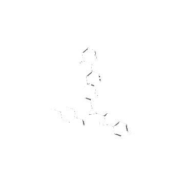 O=C(Nc1ccc(Cl)cc1)C1C(C(=O)Nc2ccc(-n3ccccc3=O)cc2F)C1C(=O)N1CCC(O)CC1